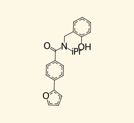 CC(C)N(Cc1ccccc1O)C(=O)c1ccc(-c2ccco2)cc1